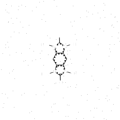 Cn1c(C(F)(F)F)[n+](C)c2cc3c(cc21)[n+](C)c(C(F)(F)F)n3C